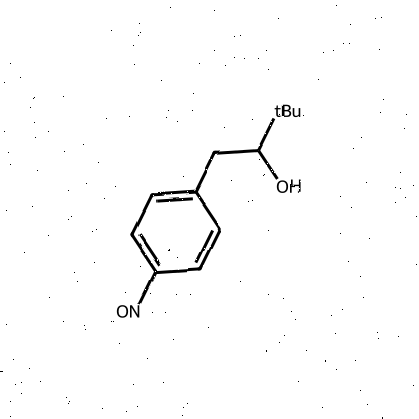 CC(C)(C)C(O)Cc1ccc(N=O)cc1